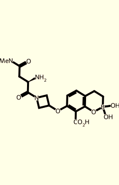 CNC(=O)C[C@@H](N)C(=O)N1CC(Oc2ccc3c(c2C(=O)O)O[B-](O)(O)CC3)C1